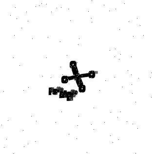 O=S(=O)([O-])[O-].[Fe+2].[Li+].[Mn+2]